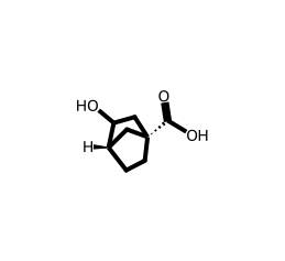 O=C(O)[C@]12CC[C@@H](C1)C(O)C2